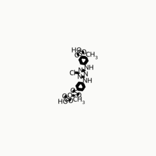 Cc1cc(Nc2nc(Cl)nc(Nc3ccc(S(=O)(=O)C(C)OS(=O)(=O)O)cc3)n2)ccc1S(=O)(=O)O